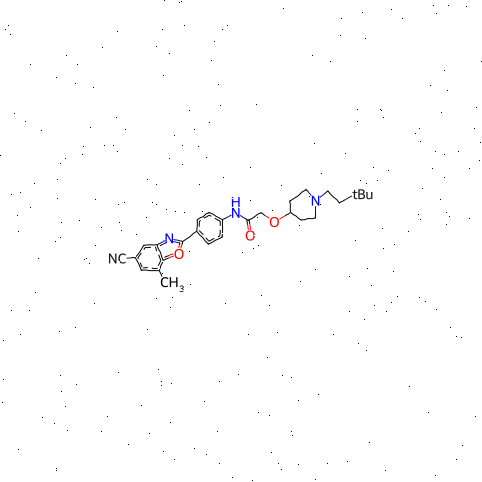 Cc1cc(C#N)cc2nc(-c3ccc(NC(=O)COC4CCN(CCC(C)(C)C)CC4)cc3)oc12